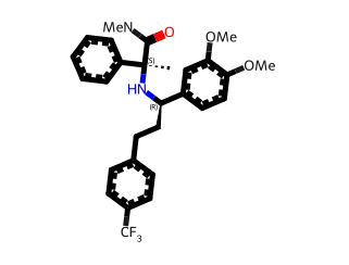 CNC(=O)[C@@](C)(N[C@H](CCc1ccc(C(F)(F)F)cc1)c1ccc(OC)c(OC)c1)c1ccccc1